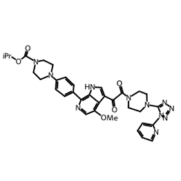 COc1cnc(-c2ccc(N3CCN(C(=O)OC(C)C)CC3)cc2)c2[nH]cc(C(=O)C(=O)N3CCN(c4nnnn4-c4ccccn4)CC3)c12